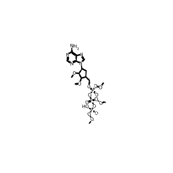 COOP(=O)(O)OP(=O)(OOC)OP(=O)(OCC1CC(n2cnc3c(N)ncnc32)C(OC)C1OC)OOC